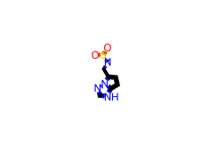 O=S(=O)=NCc1ccc2[nH]cnn12